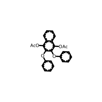 CC(=O)Oc1c(Oc2ccccc2)c(Oc2ccccc2)c(OC(C)=O)c2ccccc12